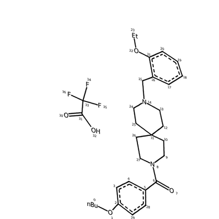 CCCCOc1ccc(C(=O)N2CCC3(CCN(Cc4ccccc4OCC)CC3)CC2)cc1.O=C(O)C(F)(F)F